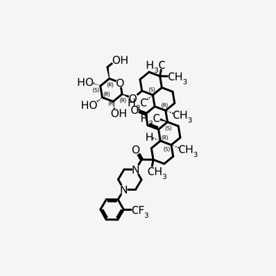 CC1(C(=O)N2CCN(c3ccccc3C(F)(F)F)CC2)CC[C@]2(C)CC[C@]3(C)C(=CC(=O)C4[C@@]5(C)C(O[C@@H]6O[C@H](CO)[C@@H](O)[C@@H](O)[C@H]6O)CCC(C)(C)C5CC[C@]43C)[C@@H]2C1